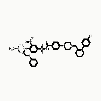 CN(C)C[C@H](CSc1ccccc1)Nc1ccc(S(=O)(=O)NC(=O)c2ccc(N3CCN(CC4=C(c5ccc(Cl)cc5)CCCC4)CC3)cc2)cc1[N+](=O)[O-]